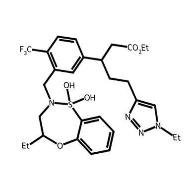 CCOC(=O)CC(CCc1cn(CC)nn1)c1ccc(C(F)(F)F)c(CN2CC(CC)Oc3ccccc3S2(O)O)c1